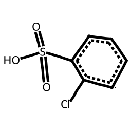 O=S(=O)(O)c1ccc[c]c1Cl